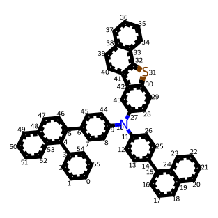 c1ccc(-c2c(-c3ccc(N(c4ccc(-c5cccc6ccccc56)cc4)c4ccc5sc6c7ccccc7ccc6c5c4)cc3)ccc3ccccc23)cc1